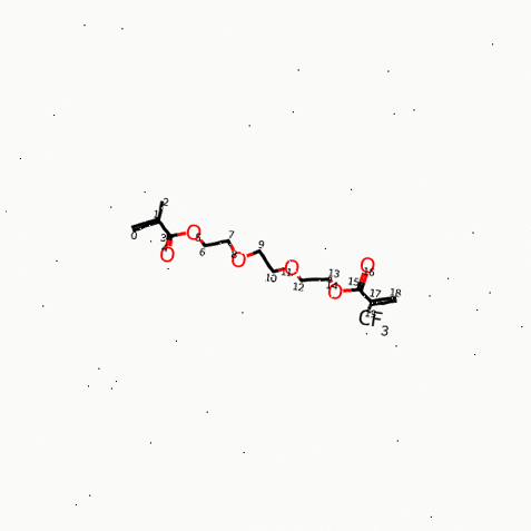 C=C(C)C(=O)OCCOCCOCCOC(=O)C(=C)C(F)(F)F